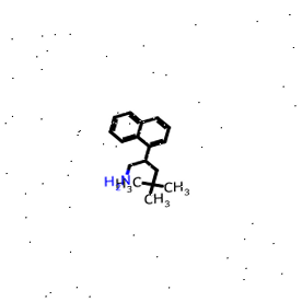 CC(C)(C)CC(CN)c1cccc2ccccc12